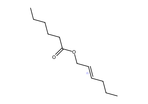 CCC/C=C/COC(=O)CCCCC